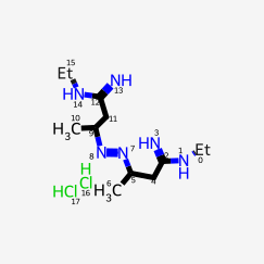 CCNC(=N)CC(C)N=NC(C)CC(=N)NCC.Cl.Cl